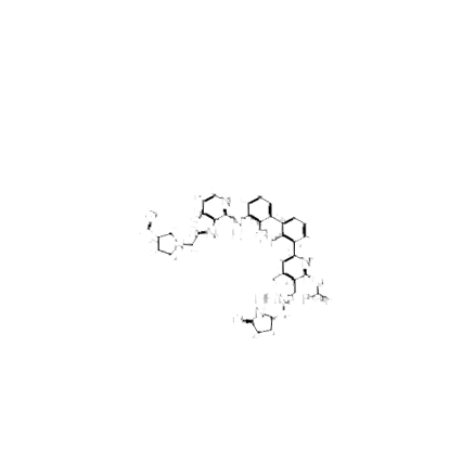 Cc1cc(-c2cccc(-c3cccc(Nc4nccc5sc(CN6CC[C@@H](C=O)C6)nc45)c3Cl)c2Cl)nc(OC(F)F)c1CNC[C@@H]1CCC(=O)N1